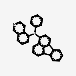 c1ccc(N(c2cccc3cnccc23)c2ccc3c4c(cccc24)-c2ccccc2-3)cc1